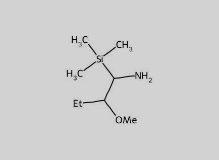 CCC(OC)C(N)[Si](C)(C)C